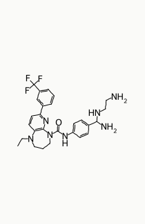 CCN1CCCN(C(=O)Nc2ccc(C(N)NCCN)cc2)c2nc(-c3cccc(C(F)(F)F)c3)ccc21